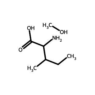 CCC(C)C(N)C(=O)O.CO